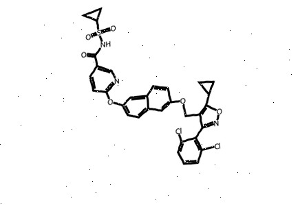 O=C(NS(=O)(=O)C1CC1)c1ccc(Oc2ccc3cc(OCc4c(-c5c(Cl)cccc5Cl)noc4C4CC4)ccc3c2)nc1